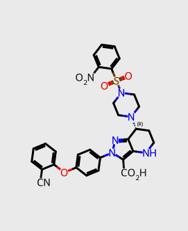 N#Cc1ccccc1Oc1ccc(-n2nc3c(c2C(=O)O)NCC[C@H]3N2CCN(S(=O)(=O)c3ccccc3[N+](=O)[O-])CC2)cc1